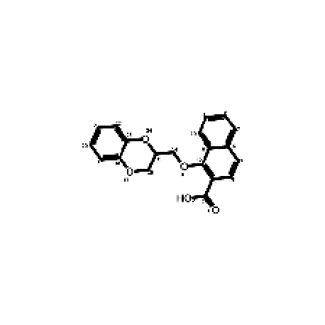 O=C(O)c1ccc2ccccc2c1OCC1COc2ccccc2O1